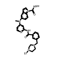 CCN1CCN(Cc2cccc(C(=O)Nc3cc(N(C)c4ccc5c(ccn5C(=O)NC)c4)ccn3)c2)CC1